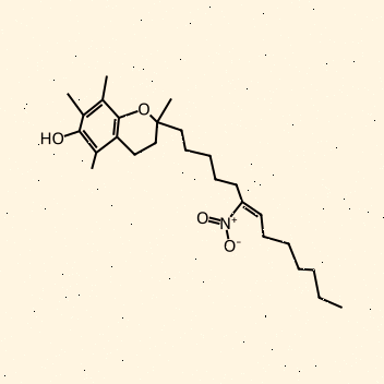 CCCCCCC=C(CCCCCC1(C)CCc2c(C)c(O)c(C)c(C)c2O1)[N+](=O)[O-]